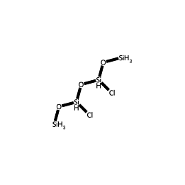 [SiH3]O[SiH](Cl)O[SiH](Cl)O[SiH3]